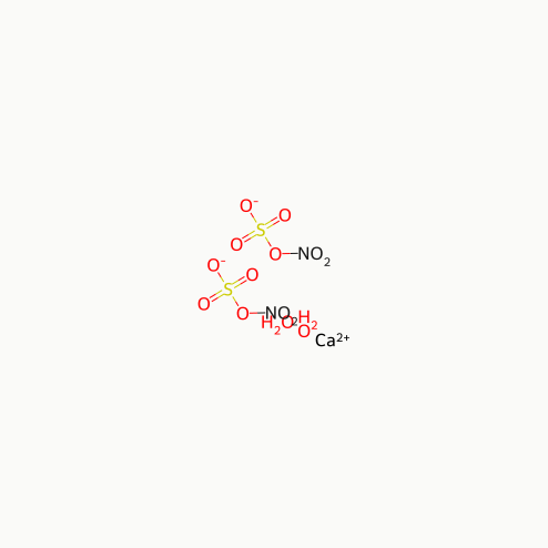 O.O.O=[N+]([O-])OS(=O)(=O)[O-].O=[N+]([O-])OS(=O)(=O)[O-].[Ca+2]